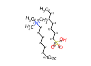 CCCCCCCCCCCCCCCC[N+](C)(C)C.CCCCCCCS(=O)(=O)O